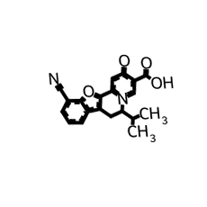 CC(C)C1Cc2c(oc3c(C#N)cccc23)-c2cc(=O)c(C(=O)O)cn21